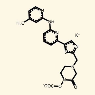 Cc1ccnc(Nc2cccc(-c3cnc(CN4CCN(OC(=O)[O-])C(=O)C4)s3)n2)c1.[K+]